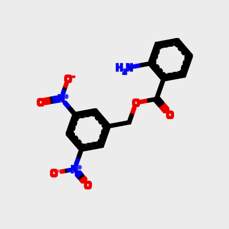 Nc1ccccc1C(=O)OCc1cc([N+](=O)[O-])cc([N+](=O)[O-])c1